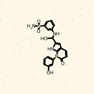 NS(=O)(=O)c1cccc(NC(O)c2cc3ccc(=O)n(-c4cccc(O)c4)c3[nH]2)c1